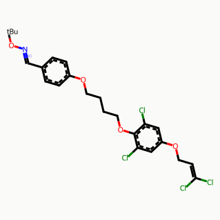 CC(C)(C)O/N=C/c1ccc(OCCCCOc2c(Cl)cc(OCC=C(Cl)Cl)cc2Cl)cc1